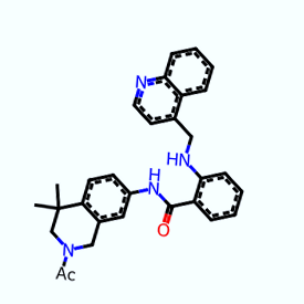 CC(=O)N1Cc2cc(NC(=O)c3ccccc3NCc3ccnc4ccccc34)ccc2C(C)(C)C1